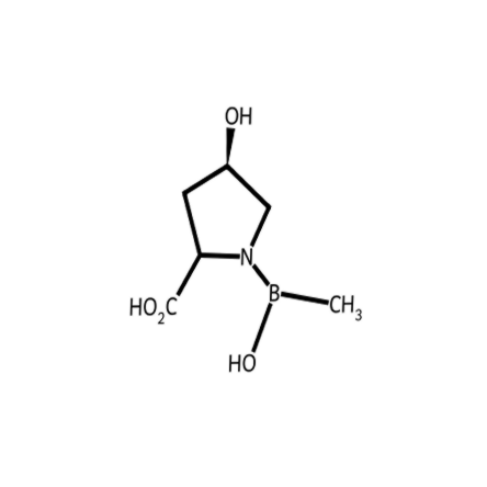 CB(O)N1C[C@H](O)CC1C(=O)O